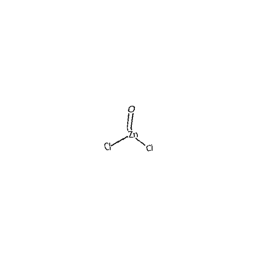 [O]=[Zn]([Cl])[Cl]